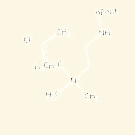 C=CC.CCCCCNCC[N+](C)(C)C.[Cl-]